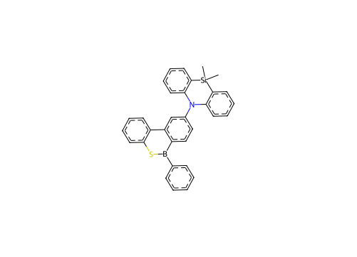 C[Si]1(C)c2ccccc2N(c2ccc3c(c2)-c2ccccc2SB3c2ccccc2)c2ccccc21